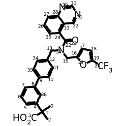 CC(C)(C(=O)O)c1cccc(-c2ccc(CN(Cc3ccc(C(F)(F)F)o3)C(=O)c3cccc4ncncc34)cc2)c1